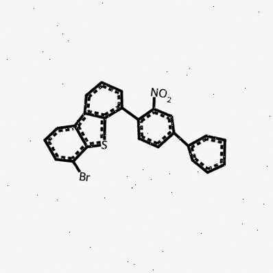 O=[N+]([O-])c1cc(-c2ccccc2)ccc1-c1cccc2c1sc1c(Br)cccc12